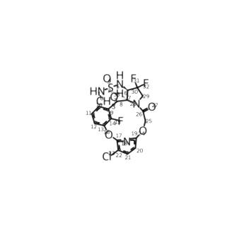 CNS(=O)(=O)N[C@@H]1[C@@H]2Cc3cccc(c3F)Oc3nc(ccc3Cl)OCC(=O)N2CC1(F)F